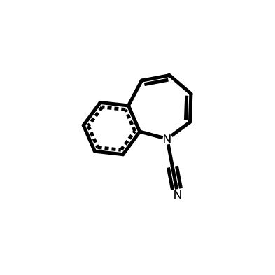 N#CN1C=CC=Cc2ccccc21